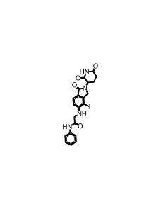 O=C1CCC(N2Cc3c(ccc(NCC(=O)Nc4ccccc4)c3I)C2=O)C(=O)N1